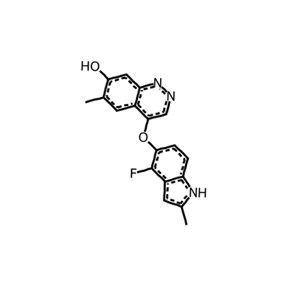 Cc1cc2c(F)c(Oc3cnnc4cc(O)c(C)cc34)ccc2[nH]1